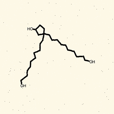 OCCCCCCCCCCC1(CCCCCCCCCCO)CCC(O)C1